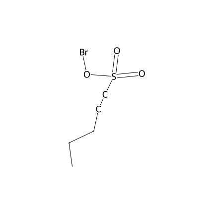 CCCCCS(=O)(=O)OBr